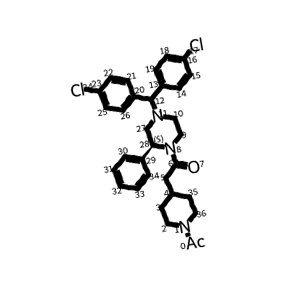 CC(=O)N1CCC(CC(=O)N2CCN(C(c3ccc(Cl)cc3)c3ccc(Cl)cc3)C[C@@H]2c2ccccc2)CC1